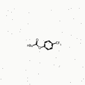 CCCCC(=O)Oc1ccc(C(F)(F)F)cc1